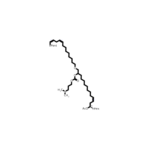 CCCCC/C=C\C/C=C\CCCCCCCCOCC(CCCCCCCC/C=C\C[C@@H](CCCCCC)OC(C)=O)OC(=O)OCCCN(C)C